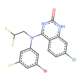 O=c1nc(N(CC(F)F)c2cc(F)cc(Br)c2)c2ccc(Cl)cc2[nH]1